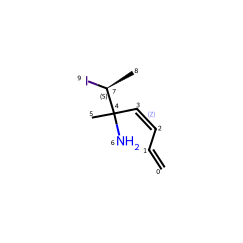 C=C/C=C\C(C)(N)[C@H](C)I